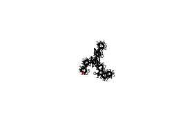 CC1(C)c2cc(-c3nc(-c4ccc(-c5ccccc5)nc4)nc(-c4cccc(-c5ccccc5)c4)n3)ccc2-c2c1ccc1ccccc21